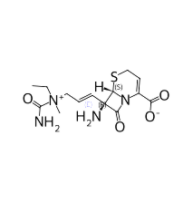 CC[N+](C)(C/C=C/[C@@]1(N)C(=O)N2C(C(=O)[O-])=CCS[C@H]21)C(N)=O